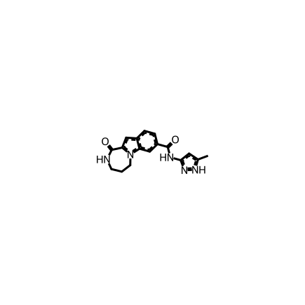 Cc1cc(NC(=O)c2ccc3cc4n(c3c2)CCCNC4=O)n[nH]1